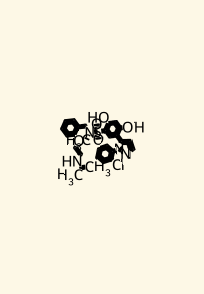 CC(C)NCCOc1ccccc1CN(C)S(=O)(=O)c1cc(-c2ccnn2-c2ccccc2Cl)c(O)cc1O